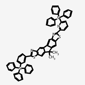 CC1(C)c2cc3sc(-c4cccc([Si](c5ccccc5)(c5ccccc5)c5ccccc5)c4)nc3cc2-c2cc3nc(-c4cccc([Si](c5ccccc5)(c5ccccc5)c5ccccc5)n4)sc3cc21